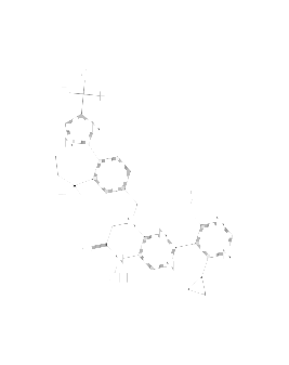 COc1ncnc(C2CC2)c1-c1ncc2c(n1)N(Cc1ccc3c(c1)C(F)(F)CCn1cc(C(C)(F)F)nc1-3)CC(=O)N2C